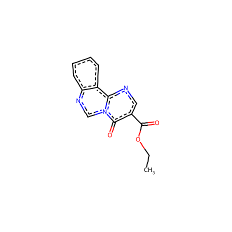 CCOC(=O)c1cnc2c3ccccc3ncn2c1=O